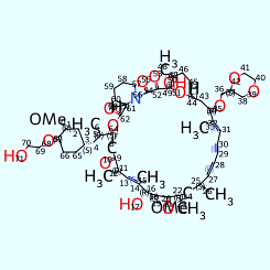 CO[C@@H]1C[C@H](C[C@@H](C)[C@@H]2CC(=O)[C@H](C)/C=C(\C)[C@@H](O)[C@@H](OC)C(=O)[C@H](C)C[C@H](C)/C=C/C=C/C=C(\C)[C@H](OC[C@@H]3COCCO3)C[C@@H]3CC[C@@H](C)[C@@](O)(O3)C(=O)C(=O)N3CCCC[C@H]3C(=O)O2)CC[C@H]1OCCO